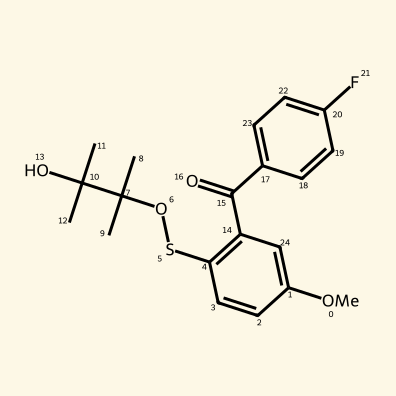 COc1ccc(SOC(C)(C)C(C)(C)O)c(C(=O)c2ccc(F)cc2)c1